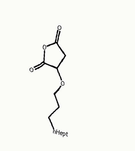 CCCCCCCCCCOC1CC(=O)OC1=O